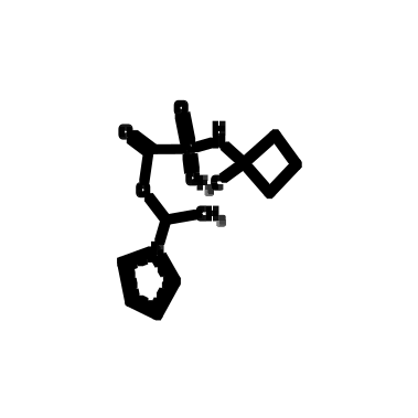 CC(OC(=O)S(=O)(=O)NC1(C(F)(F)F)CCC1)n1cccc1